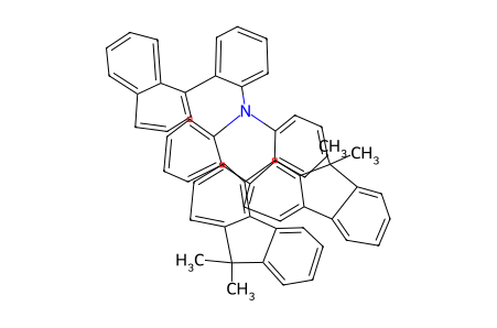 CC1(C)c2ccccc2-c2ccc(-c3ccccc3N(c3ccccc3-c3cccc4c3-c3ccccc3C4(C)C)c3ccccc3-c3cccc4ccccc34)cc21